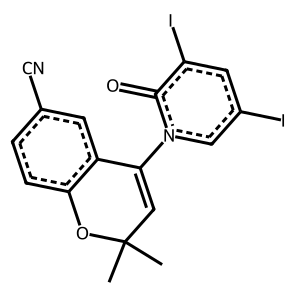 CC1(C)C=C(n2cc(I)cc(I)c2=O)c2cc(C#N)ccc2O1